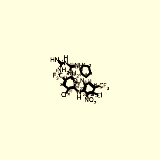 C1CCCCC1.N=C(N)NC(=N)N.O=[N+]([O-])c1cc(C(F)(F)F)c(Cl)c([N+](=O)[O-])c1Nc1ncc(C(F)(F)F)cc1Cl